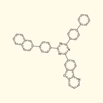 c1ccc(-c2ccc(-c3nc(-c4ccc(-c5ccc6ccccc6c5)cc4)nc(-c4ccc5c(c4)oc4cccnc45)n3)cc2)cc1